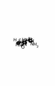 CN1c2nc(Nc3cc(N)ncn3)cnc2C(=O)NC12CCC2